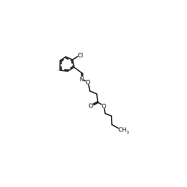 CCCCOC(=O)CCO/N=C/c1c[c]ccc1Cl